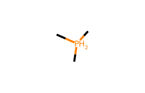 C[PH2](C)C